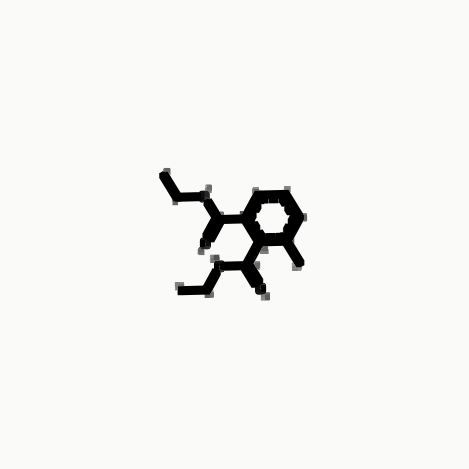 CCOC(=O)c1cccc(C)c1C(=O)OCC